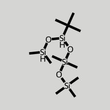 C[SiH](C)O[SiH](O[Si](C)(C)O[Si](C)(C)C)C(C)(C)C